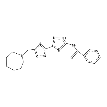 O=C(Nc1nc(-c2ccc(CN3CCCCCC3)s2)n[nH]1)c1ccccc1